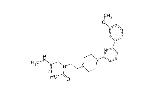 CNC(=O)CN(CCN1CCN(c2cccc(-c3cccc(OC)c3)n2)CC1)C(=O)O